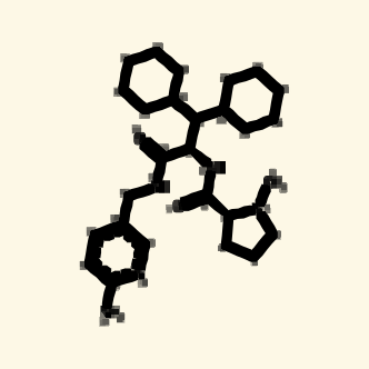 CN1CCC[C@H]1C(=O)N[C@@H](C(=O)NCc1ccc(N)nc1)C(C1CCCCC1)C1CCCCC1